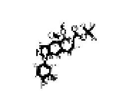 COC(=O)[C@]12Cc3cnn(-c4ccc(F)c(F)c4)c3C=C1CCN(C(=O)OC(C)(C)C)C2